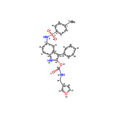 CC(C)(C)c1ccc(S(=O)(=O)Nc2ccc3[nH]c(OC(=O)NCc4ccoc4)c(-c4ccccc4)c3c2)cc1